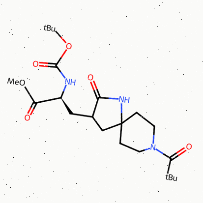 COC(=O)[C@H](CC1CC2(CCN(C(=O)C(C)(C)C)CC2)NC1=O)NC(=O)OC(C)(C)C